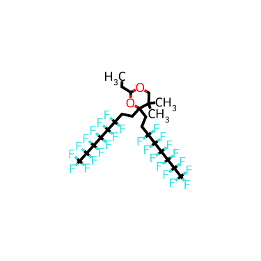 CCC1OCC(C)(C)C(CCC(F)(F)C(F)(F)C(F)(F)C(F)(F)C(F)(F)C(F)(F)F)(CCC(F)(F)C(F)(F)C(F)(F)C(F)(F)C(F)(F)C(F)(F)F)O1